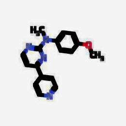 COc1ccc(N(C)c2nccc(-c3ccncc3)n2)cc1